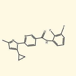 Cc1cc(C2CC2)n(-c2ccc(C(=O)Nc3cccc(F)c3F)cn2)n1